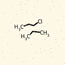 CCC.CCCCl